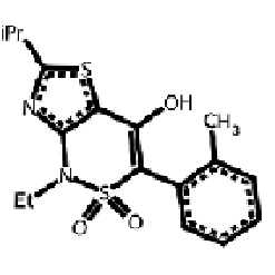 CCN1c2nc(C(C)C)sc2C(O)=C(c2ccccc2C)S1(=O)=O